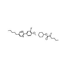 CCCCCc1cnc(-c2ccc(OC[C@H]3CC[C@H](OC(=O)[C@@H](F)CCCC)CC3)c(F)c2)nc1